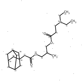 [CH2]C(COC(=O)CCN(CC)CC)COC(=O)CC12CC3CC(CC(C3)C1)C2